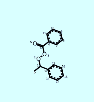 CC(OOC(=O)c1ccccc1)c1ccccc1